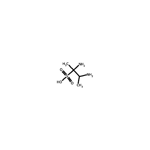 CC(N)C(C)(N)S(=O)(=O)O